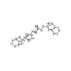 CC(C=C1CCCCC1)CCC(=O)OCC1COC(C2CC3CCCC(C3)C2)O1